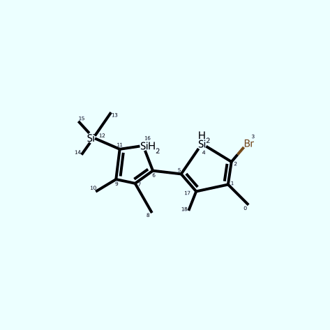 CC1=C(Br)[SiH2]C(C2=C(C)C(C)=C([Si](C)(C)C)[SiH2]2)=C1C